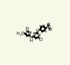 Cc1cc(Nc2cc(Cl)nc(Oc3ccc([N+](=O)[O-])cc3)n2)n[nH]1